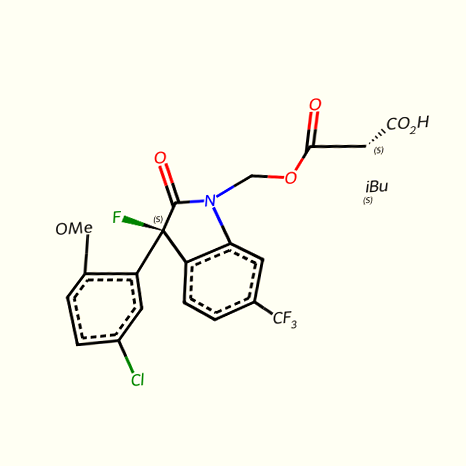 CC[C@H](C)[C@@H](C(=O)O)C(=O)OCN1C(=O)[C@@](F)(c2cc(Cl)ccc2OC)c2ccc(C(F)(F)F)cc21